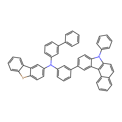 c1ccc(-c2cccc(N(c3cccc(-c4ccc5c(c4)c4c6ccccc6ccc4n5-c4ccccc4)c3)c3ccc4sc5ccccc5c4c3)c2)cc1